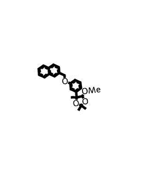 COC1OC(C)(C)OC1(C)c1cccc(OCc2ccc3ccccc3c2)c1